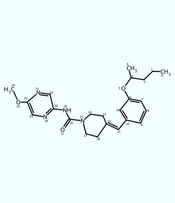 CCCC(C)Oc1cccc(C=C2CCN(C(=O)Nc3cnc(OC)cn3)CC2)c1